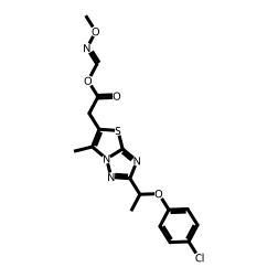 CO/N=C/OC(=O)Cc1sc2nc(C(C)Oc3ccc(Cl)cc3)nn2c1C